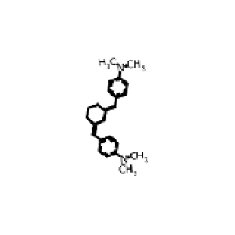 CN(C)c1ccc(/C=C2/CCC/C(=C\c3ccc(N(C)C)cc3)C2)cc1